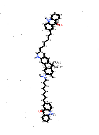 CCCCCCCCC1(CCCCCCCC)c2cc(C)c(N(C)CCCCCCCCc3ccc4c(c3)c(=O)c3ccccc3n4C)cc2-c2cc(N(C)CCCCCCCCc3ccc4c(c3)c(=O)c3ccccc3n4C)c(C)cc21